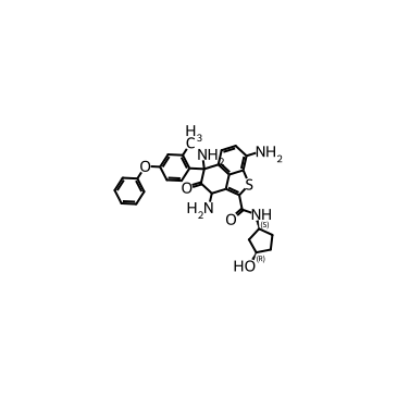 Cc1cc(Oc2ccccc2)ccc1C1(N)C(=O)C(N)c2c(C(=O)N[C@H]3CC[C@@H](O)C3)sc3c(N)ccc1c23